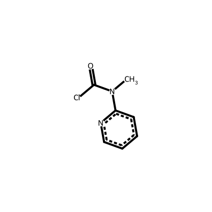 CN(C(=O)Cl)c1ccccn1